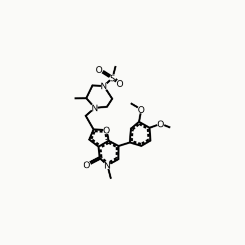 COc1ccc(-c2cn(C)c(=O)c3cc(CN4CCN(S(C)(=O)=O)CC4C)oc23)cc1OC